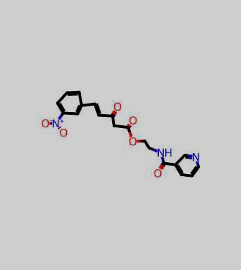 O=C(C=Cc1cccc([N+](=O)[O-])c1)CC(=O)OCCNC(=O)c1cccnc1